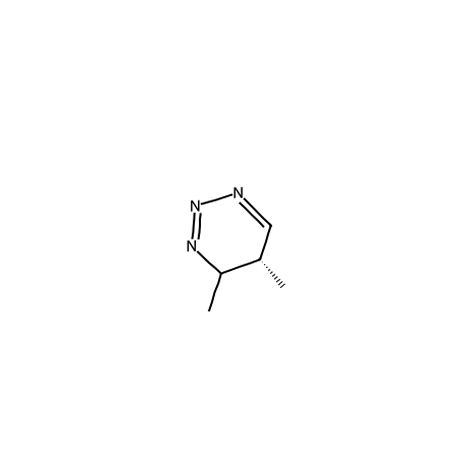 CC1N=NN=C[C@@H]1C